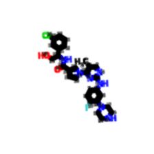 Cc1cnc(Nc2ccc(F)c(N3CCNCC3)c2)nc1-n1ccc(C(=O)NC(CO)c2cccc(Cl)c2)c1